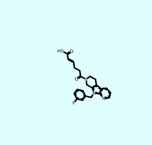 O=C(O)/C=C/CCC(=O)N1CCc2c(n(Cc3cccc(F)c3)c3ncccc23)C1